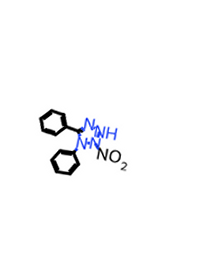 O=[N+]([O-])N1NN=C(c2ccccc2)N1c1ccccc1